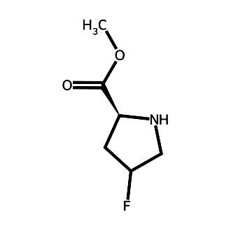 COC(=O)[C@@H]1CC(F)CN1